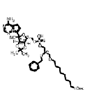 CCCCCCCCCCCCCCCCCCOC[C@H](COP(O)(=S)OC[C@H]1O[C@@](C#N)(c2ccc3c(N)ncnn23)[C@@H]2OC(C)(C)O[C@@H]21)OCc1ccccc1